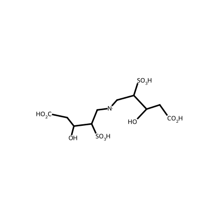 O=C(O)CC(O)C(C[N]CC(C(O)CC(=O)O)S(=O)(=O)O)S(=O)(=O)O